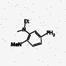 CCN(C)c1cc(P)ccc1NC